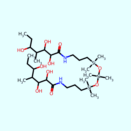 CCC(O)C(C)C(O)C(O)C(=O)NCCC[Si](C)(C)O[Si](C)(C)O[Si](C)(C)CCCNC(=O)C(O)C(O)C(C)C(O)CC